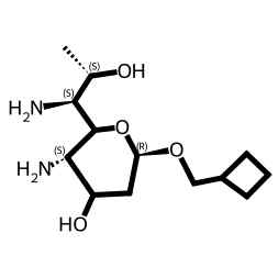 C[C@H](O)[C@H](N)C1O[C@@H](OCC2CCC2)CC(O)[C@@H]1N